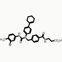 Cc1ccc(NC(=O)N(Cc2ccc(C(=O)NCCC(=O)O)cc2)c2ccc(C3=CCCCC3)cc2)cc1Br